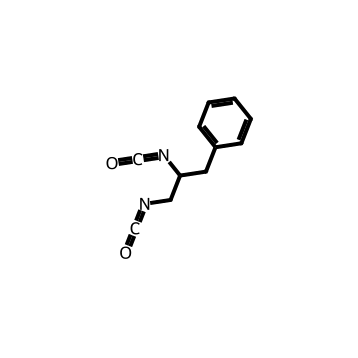 O=C=NCC(Cc1ccccc1)N=C=O